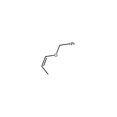 C/C=C\OCCCC